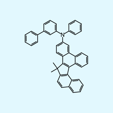 CC1(C)c2ccc3ccccc3c2-c2c1c1ccc(N(c3ccccc3)c3cccc(-c4ccccc4)c3)cc1c1ccccc21